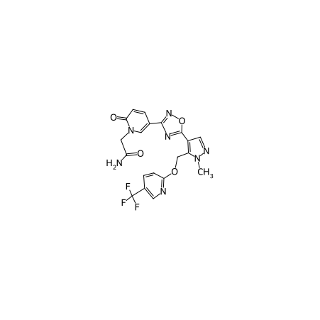 Cn1ncc(-c2nc(-c3ccc(=O)n(CC(N)=O)c3)no2)c1COc1ccc(C(F)(F)F)cn1